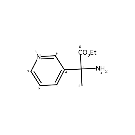 CCOC(=O)C(C)(N)c1cccnc1